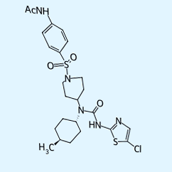 CC(=O)Nc1ccc(S(=O)(=O)N2CCC(N(C(=O)Nc3ncc(Cl)s3)[C@H]3CC[C@H](C)CC3)CC2)cc1